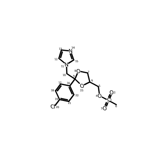 CS(=O)(=O)OCC1COC(Cn2ccnc2)(c2ccc(Cl)cc2)O1